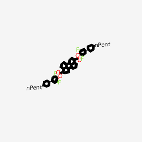 CCCCC[C@H]1CC[C@H](c2cc(F)c(OC(=O)c3ccc4c5cccc6c(C(=O)Oc7c(F)cc([C@H]8CC[C@H](CCCCC)CC8)cc7F)ccc(c7cccc3c74)c65)c(F)c2)CC1